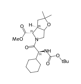 COC(=O)[C@@H]1[C@H]2CC(C)(C)OC2CN1C(=O)[C@@H](NC(=O)OC(C)(C)C)C1CCCCC1